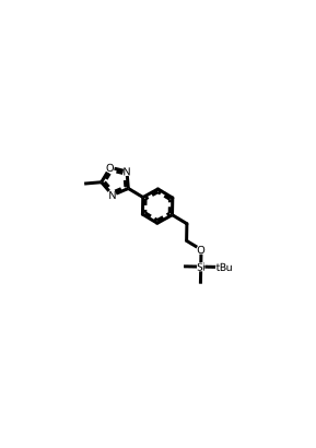 Cc1nc(-c2ccc(CCO[Si](C)(C)C(C)(C)C)cc2)no1